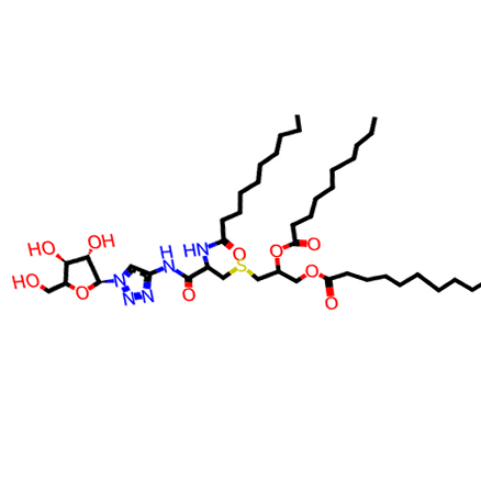 CCCCCCCCCC(=O)NC(CSCC(COC(=O)CCCCCCCCC)OC(=O)CCCCCCCCC)C(=O)Nc1cn([C@H]2OC(CO)[C@@H](O)[C@@H]2O)nn1